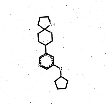 c1ncc(C2CCC3(CCCN3)CC2)cc1OC1CCCC1